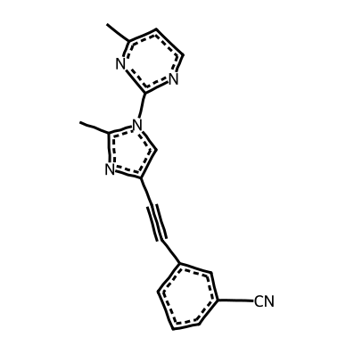 Cc1ccnc(-n2cc(C#Cc3cccc(C#N)c3)nc2C)n1